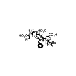 CC[C@H](C)[C@H](N)C(=O)N[C@@H](CCC(=O)O)C(=O)N[C@@H](Cc1ccccc1)C(=O)N[C@@H](CC(=O)O)C(=O)N[C@@H](C)C(=O)N[C@@H](CC(C)C)C(=O)O